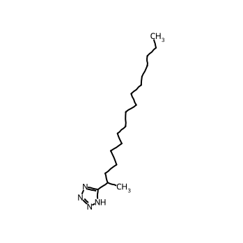 CCCCCCCCCCCCCCCC(C)c1nnn[nH]1